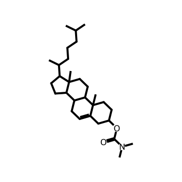 CC(C)CCCC(C)C1CCC2C3CC=C4CC(OC(=O)N(C)C)CCC4(C)C3CCC12C